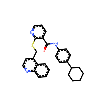 O=C(Nc1ccc(C2CCCCC2)cc1)c1cccnc1SCc1ccnc2ccccc12